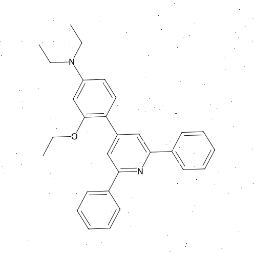 CCOc1cc(N(CC)CC)ccc1-c1cc(-c2ccccc2)nc(-c2ccccc2)c1